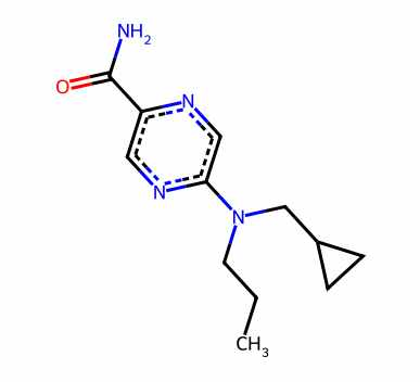 CCCN(CC1CC1)c1cnc(C(N)=O)cn1